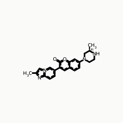 Cc1cn2cc(-c3cc4ccc(N5CCN[C@H](C)C5)cc4oc3=O)ccc2n1